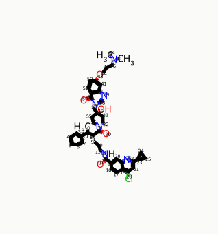 CC(c1ccccc1)[C@@H](CCCNC(=O)c1ccc2c(Cl)cc(C3CC3)nc2c1)C(=O)N1CCC(O)(Cn2cnc3cc(OCCCN(C)C)ccc3c2=O)CC1